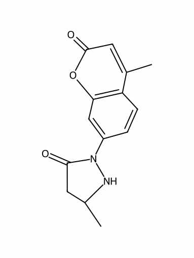 Cc1cc(=O)oc2cc(N3NC(C)CC3=O)ccc12